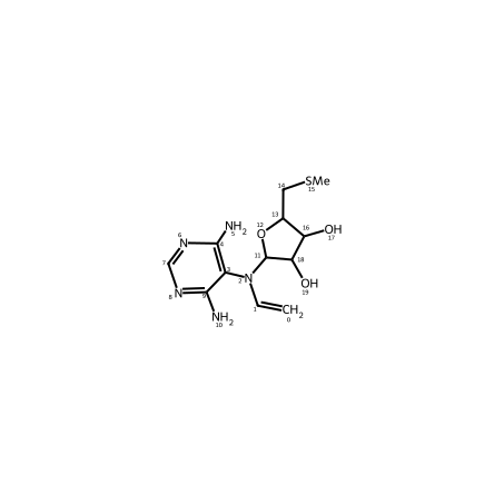 C=CN(c1c(N)ncnc1N)C1OC(CSC)C(O)C1O